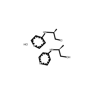 C[C@@H](CCl)Nc1ccncc1.C[C@@H](CO)Nc1ccncc1.Cl